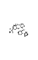 O=C(c1ccccc1-n1nccn1)N1CC2CCC1C(Nc1ncc(C(F)(F)F)cc1F)C2